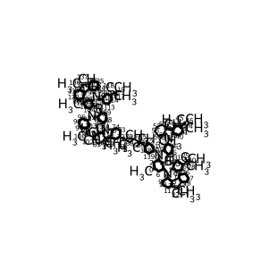 Cc1cc2c3c(c1)N(c1cccc4c1-c1ccccc1C4(C)C)c1ccc(C(C)(C)C)cc1B3c1ccc(N3c4ccc(C(C)(C)C)cc4C4(C)CCCCC34C)cc1N2c1ccc(C(C)(C)CCC(C)(C)c2ccc3c(c2)C2(C)CCCCC2(C)N3c2ccc3c(c2)N(c2cccc(C(C)(C)C)c2)c2cc(C)cc4c2B3c2ccc(C(C)(C)C)cc2N4c2cccc3c2-c2ccccc2C3(C)C)cc1